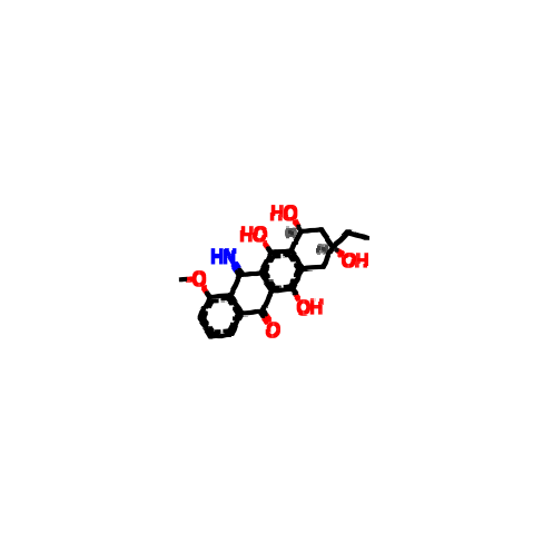 CC[C@]1(O)Cc2c(O)c3c(c(O)c2[C@@H](O)C1)C(=N)c1c(OC)cccc1C3=O